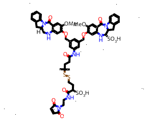 COc1cc2c(cc1OCc1cc(COc3cc4c(cc3OC)C(=O)N3c5ccccc5C[C@H]3CN4)cc(NC(=O)CCC(C)(C)SSCCC(C(=O)NCCN3C(=O)C=CC3=O)S(=O)(=O)O)c1)NC(S(=O)(=O)O)C1Cc3ccccc3N1C2=O